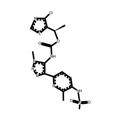 Cc1nc(-c2nnn(C)c2NC(=O)O[C@H](C)c2scnc2Cl)ccc1NS(C)(=O)=O